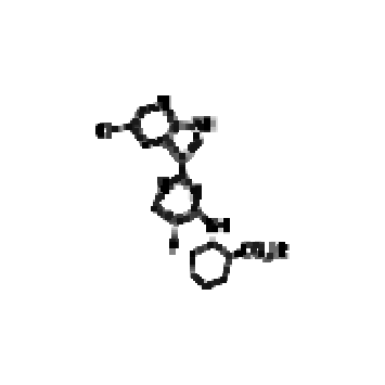 CCOC(=O)[C@H]1CCCC[C@@H]1Nc1nc(-c2c[nH]c3ncc(Cl)cc23)ncc1F